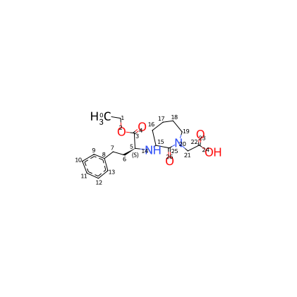 CCOC(=O)[C@H](CCc1ccccc1)NC1CCCCN(CC(=O)O)C1=O